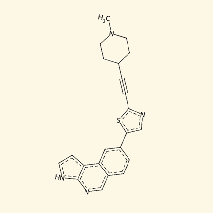 CN1CCC(C#Cc2ncc(-c3ccc4cnc5[nH]ccc5c4c3)s2)CC1